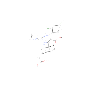 COC(=O)C1=C(C23C4C5C2C2C3C4C52CC(=O)O)NC(c2nccs2)=NC1c1ccc(F)cc1Cl